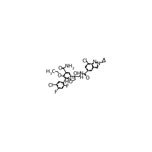 CCOc1c(C(N)=O)cc([C@](O)(CO)CNC(=O)c2cc(Cl)c3nn(C4CC4)cc3c2)nc1-c1cc(Cl)c(F)cc1F